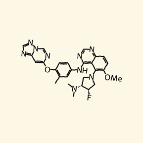 COc1ccc2ncnc(Nc3ccc(Oc4cc5ncnn5cn4)c(C)c3)c2c1N1C[C@@H](F)[C@H](N(C)C)C1